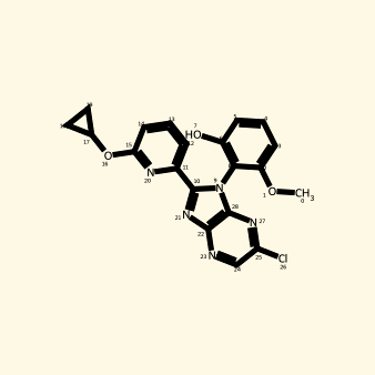 COc1cccc(O)c1-n1c(C2=C=C=CC(OC3CC3)=N2)nc2ncc(Cl)nc21